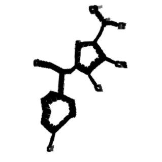 CC[S+]([O-])c1sc(C(=O)c2ccc(Cl)cc2)c(Cl)c1C#N